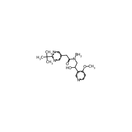 BN(CC(O)c1cnccc1OC)C(=O)Cc1cnc(C(C)(C)C)nc1